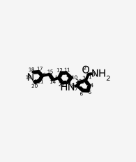 NC(=O)c1cccc(Nc2cccc(C=Cc3ccncc3)c2)c1